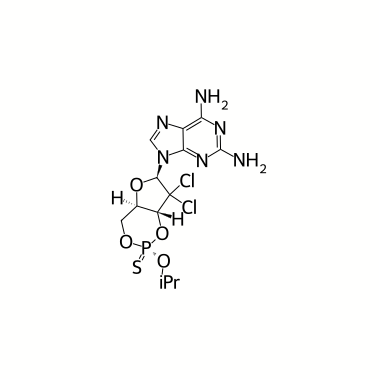 CC(C)O[P@]1(=S)OC[C@H]2O[C@@H](n3cnc4c(N)nc(N)nc43)C(Cl)(Cl)[C@@H]2O1